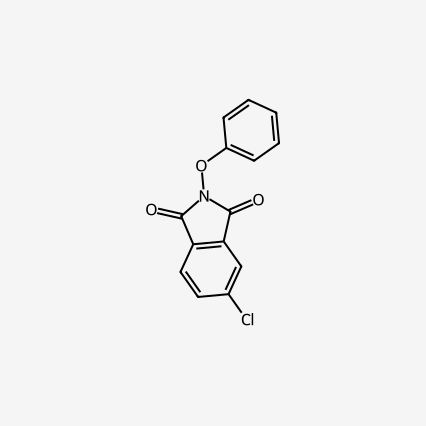 O=C1c2ccc(Cl)cc2C(=O)N1Oc1ccccc1